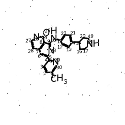 Cc1ccc(-c2cc3c(c(Nc4ccc(C5CCNCC5)cc4)n2)C(=O)[N]C=C3)nc1